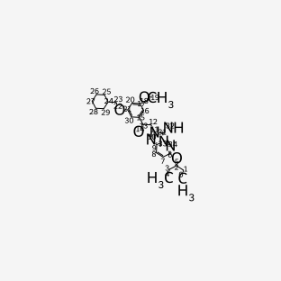 CCC(CC)Oc1ccc2nn(CC(=O)c3cc(OC)cc(OCC4CCCCC4)c3)c(=N)n2n1